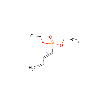 C=C/C=C/P(=O)(OCC)OCC